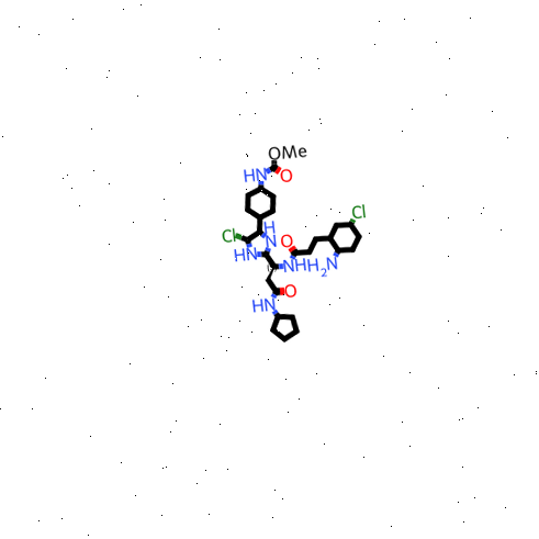 COC(=O)NC1CCC(C2NC([C@H](CC(=O)NC3CCCC3)NC(=O)CCC3CC(Cl)CCC3N)NC2Cl)CC1